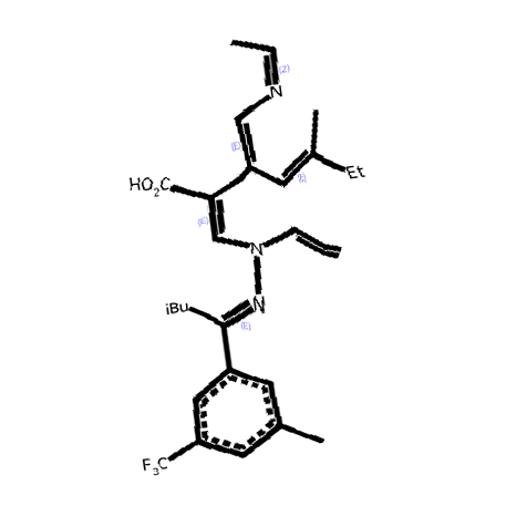 C=CN(/C=C(/C(=O)O)C(=C/N=C\C)/C=C(\C)CC)/N=C(/c1cc(C)cc(C(F)(F)F)c1)C(C)CC